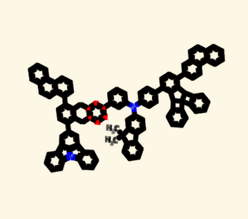 CC1(C)c2ccccc2-c2ccc(N(c3ccc(-c4ccc(-c5ccc6c(ccc7ccccc76)c5)c5c4C4c6ccccc6C46c4ccccc4C56)cc3)c3cccc(-c4ccc5c(c4)C4c6ccccc6C5c5c(-c6cc7c8ccccc8n8c9ccccc9c(c6)c78)ccc(-c6cccc7c6ccc6ccccc67)c54)c3)cc21